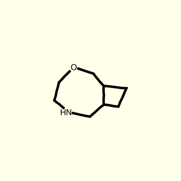 C1COCC2CCC2CN1